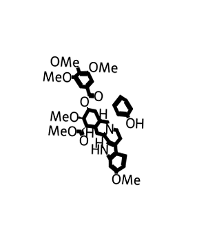 COC(=O)[C@H]1[C@H]2C[C@@H]3c4[nH]c5cc(OC)ccc5c4CCN3C[C@H]2C[C@@H](OC(=O)c2cc(OC)c(OC)c(OC)c2)[C@@H]1OC.Oc1ccccc1